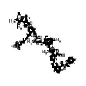 Cc1c(-c2ccc(N3CCc4cccc(C(=O)Nc5nc6ccccc6s5)c4C3)nc2C(=O)O)cnn1CC12CC3(C)CC(C)(C1)CC(OCCN(C)C(=O)OCc1ccc(NC(=O)[C@H](C)NC(=O)[C@@H](N)C(C)C)cc1CCCOCCCS(=O)(=O)O)(C3)C2